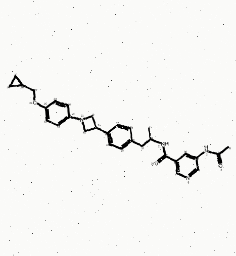 CC(=O)Nc1cncc(C(=O)NC(C)Cc2ccc(C3CN(c4ccc(OCC5CC5)cc4)C3)cc2)c1